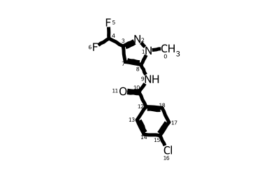 Cn1nc(C(F)F)cc1NC(=O)c1ccc(Cl)cc1